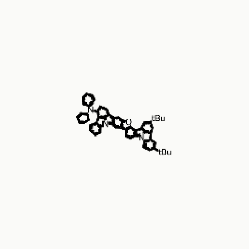 CC(C)(C)c1ccc2c(c1)c1cc(C(C)(C)C)cc3c4c5oc6cc7c8ccc(N(c9ccccc9)C9C=CC=CC9)c9c%10ccccc%10n(c7cc6c5ccc4n2c13)c89